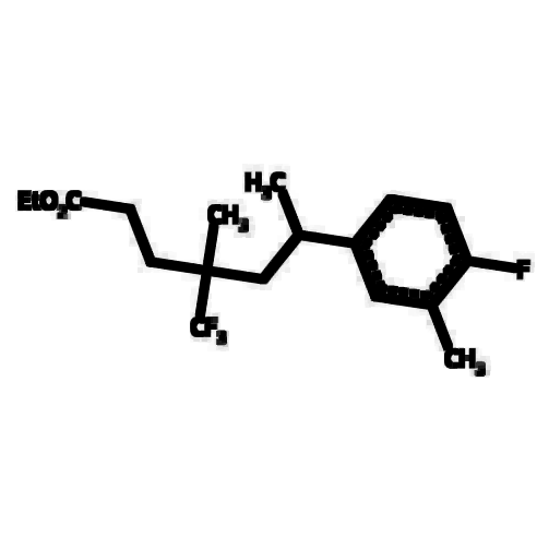 CCOC(=O)CCC(C)(CC(C)c1ccc(F)c(C)c1)C(F)(F)F